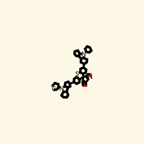 c1ccc(-n2c3ccccc3c3cc(-c4ccc5c(c4)Sc4cc(-c6ccc7c(c6)c6ccccc6n7-c6ccccc6)ccc4C54c5cccnc5-c5ncccc54)ccc32)cc1